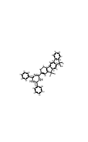 CC1(C)C2=C(CCC(C3N=C(c4ccccc4)NC(c4ccccc4)N3)=C2)c2cc3c(cc21)C(C)(C)c1ccccc1-3